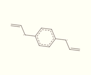 C=C[CH]c1ccc([CH]C=C)cc1